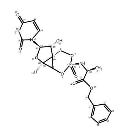 C[C@H](N[P@]1(=O)OC[C@]23C(O1)[C@H]2O[C@@H](n1ccc(=O)[nH]c1=O)[C@@H]3O)C(=O)OCc1ccccc1